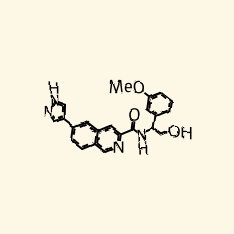 COc1cccc(C(CO)NC(=O)c2cc3cc(-c4cn[nH]c4)ccc3cn2)c1